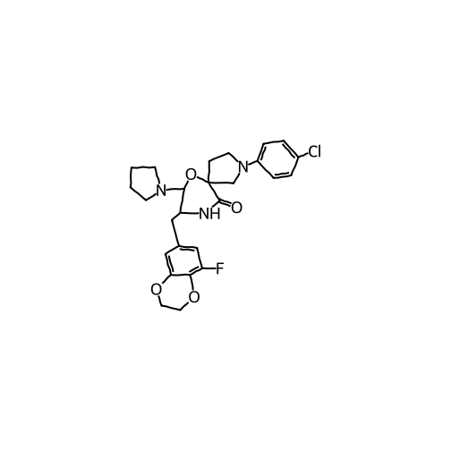 O=C1NC(Cc2cc(F)c3c(c2)OCCO3)C(N2CCCC2)OC12CCN(c1ccc(Cl)cc1)C2